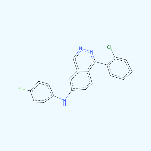 Fc1ccc(Nc2ccc3c(-c4ccccc4Cl)nncc3c2)cc1